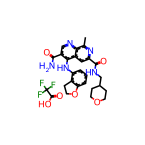 Cc1nc(C(=O)NCC2CCOCC2)cc2c(Nc3cccc4c3CCO4)c(C(N)=O)cnc12.O=C(O)C(F)(F)F